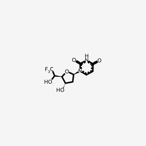 O=c1ccn([C@H]2C[C@H](O)[C@@H](C(O)C(F)(F)F)O2)c(=O)[nH]1